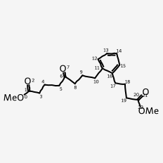 COC(=O)CCCC(=O)CCCc1ccccc1CCCC(=O)OC